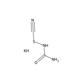 N#CSNC(N)=O.[KH]